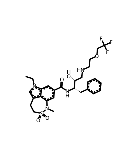 CCn1cc2c3c(cc(C(=O)N[C@@H](Cc4ccccc4)[C@H](O)CNCCOCC(F)(F)F)cc31)N(C)S(=O)(=O)CC2